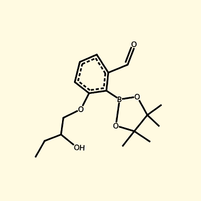 CCC(O)COc1cccc(C=O)c1B1OC(C)(C)C(C)(C)O1